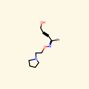 CC(C)/C(C#CCO)=N/OCCN1CCCC1